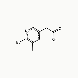 CCc1ncc(CC(=O)S)cc1C